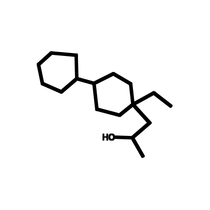 CCC1(CC(C)O)CCC(C2CCCCC2)CC1